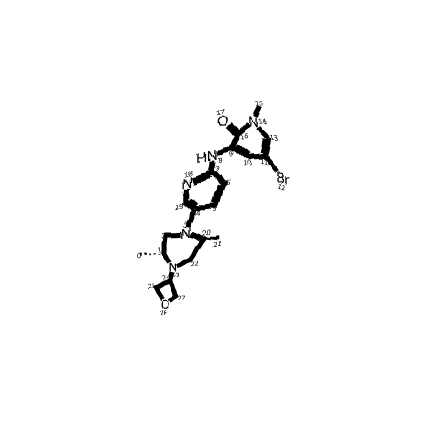 C[C@@H]1CN(c2ccc(Nc3cc(Br)cn(C)c3=O)nc2)[C@@H](C)CN1C1COC1